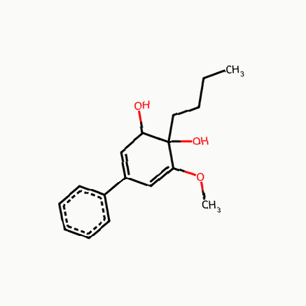 CCCCC1(O)C(OC)=CC(c2ccccc2)=CC1O